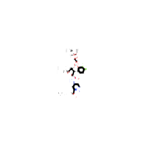 COC(=O)c1cc(NC(=O)[C@@H]2O[C@@](C)(C(F)(F)F)[C@@H](C)[C@H]2c2ccc(F)c(F)c2OCCO[Si](C(C)C)(C(C)C)C(C)C)ccn1